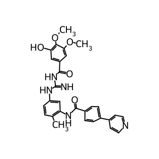 COc1cc(C(=O)NC(=N)Nc2ccc(C)c(NC(=O)c3ccc(-c4ccncc4)cc3)c2)cc(O)c1OC